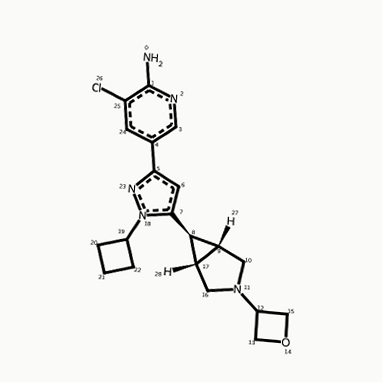 Nc1ncc(-c2cc([C@H]3[C@@H]4CN(C5COC5)C[C@@H]43)n(C3CCC3)n2)cc1Cl